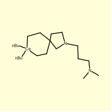 CCC[CH2][Ge]1([CH2]CCC)[CH2]CC2(CCN(CCCN(C)C)C2)C[CH2]1